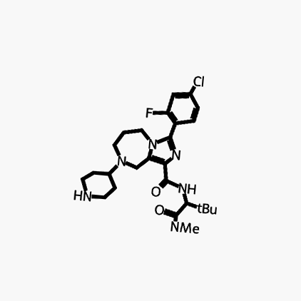 CNC(=O)C(NC(=O)c1nc(-c2ccc(Cl)cc2F)n2c1CN(C1CCNCC1)CCC2)C(C)(C)C